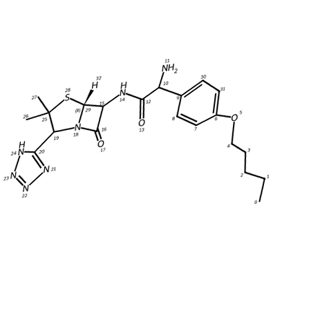 CCCCCOc1ccc(C(N)C(=O)NC2C(=O)N3C(c4nnn[nH]4)C(C)(C)S[C@H]23)cc1